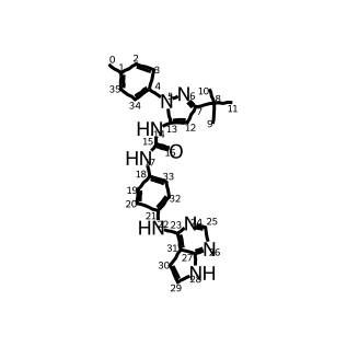 Cc1ccc(-n2nc(C(C)(C)C)cc2NC(=O)Nc2ccc(Nc3ncnc4[nH]ccc34)cc2)cc1